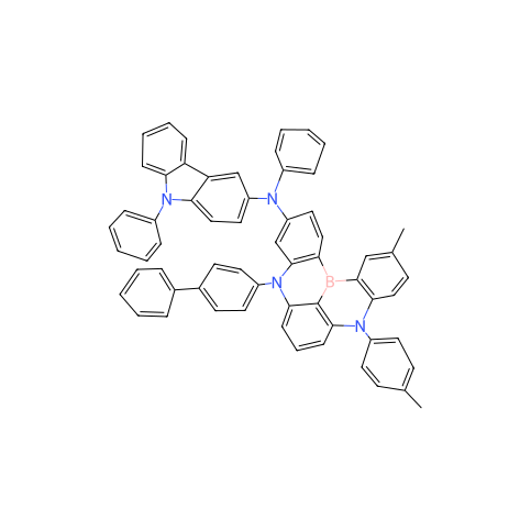 Cc1ccc(N2c3ccc(C)cc3B3c4ccc(N(c5ccccc5)c5ccc6c(c5)c5ccccc5n6-c5ccccc5)cc4N(c4ccc(-c5ccccc5)cc4)c4cccc2c43)cc1